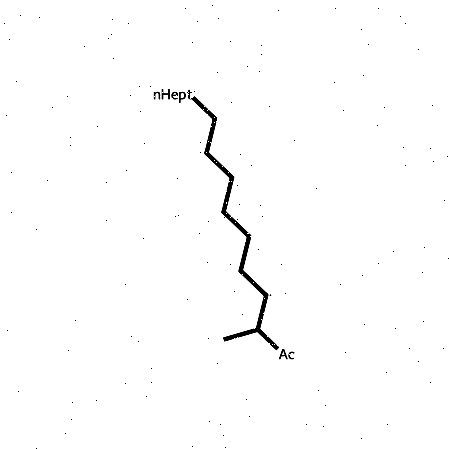 CCCCCCCCCCCCC[CH]C(C)C(C)=O